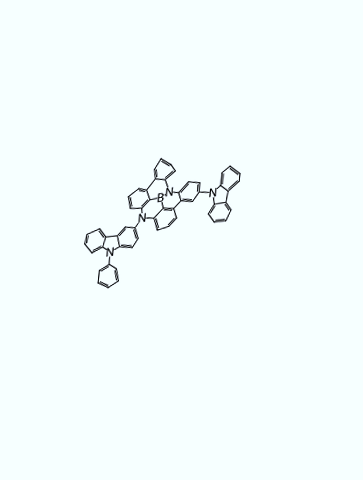 c1ccc(-n2c3ccccc3c3cc(N4c5cccc6c5B5c7c(cccc74)-c4cc(-n7c8ccccc8c8ccccc87)ccc4N5c4ccccc4-6)ccc32)cc1